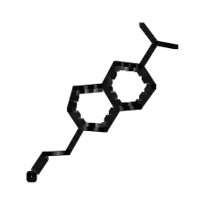 CC(C)c1ccc2cc(CC=O)ccc2c1